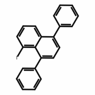 Ic1cccc2c(-c3ccccc3)ccc(-c3ccccc3)c12